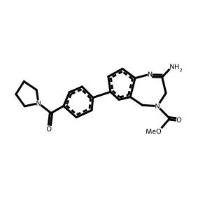 COC(=O)N1CC(N)=Nc2ccc(-c3ccc(C(=O)N4CCCC4)cc3)cc2C1